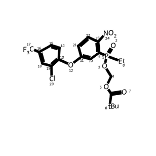 CCP(=O)(OCOC(=O)C(C)(C)C)c1cc(Oc2ccc(C(F)(F)F)cc2Cl)ccc1[N+](=O)[O-]